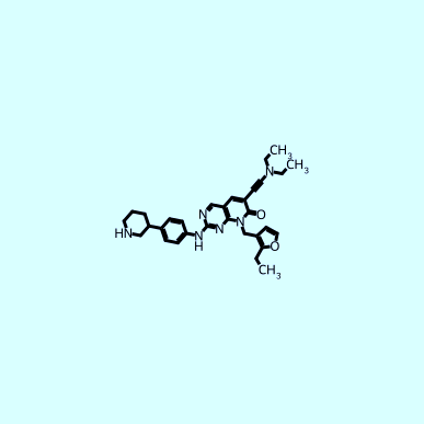 CCc1occc1Cn1c(=O)c(C#CN(CC)CC)cc2cnc(Nc3ccc(C4CCCNC4)cc3)nc21